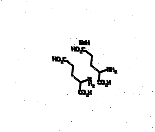 NC(CCC(=O)O)C(=O)O.NC(CCC(=O)O)C(=O)O.[NaH]